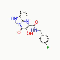 C=C1NCn2c1nc(C(=O)NCc1ccc(F)cc1)c(O)c2=O